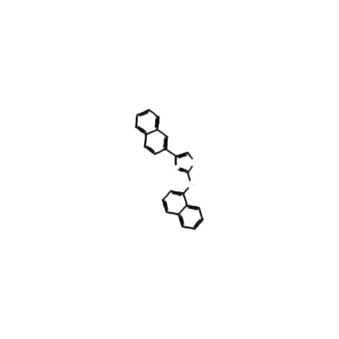 c1ccc2cc(-c3csc(Nc4cccc5ccccc45)n3)ccc2c1